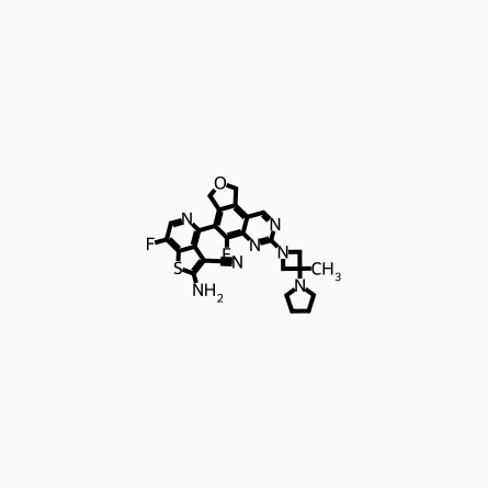 CC1(N2CCCC2)CN(c2ncc3c4c(c(-c5ncc(F)c6sc(N)c(C#N)c56)c(F)c3n2)COC4)C1